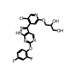 OCC(O)COc1cc(-c2n[nH]c3nc(Oc4ccc(F)cc4F)ncc23)c(Cl)cn1